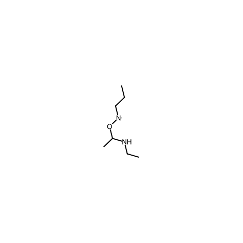 CCC[N]OC(C)NCC